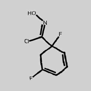 ON=C(Cl)C1(F)C=CC=C(F)C1